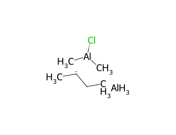 C[CH]CC.[AlH3].[CH3][Al]([CH3])[Cl]